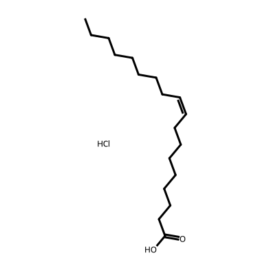 CCCCCCCC/C=C\CCCCCCCC(=O)O.Cl